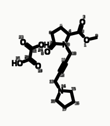 COC(=O)C1CCC(=O)N1CC#CCN1CCCC1.O=C(O)C(=O)O